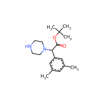 Cc1cc(C)cc(C(C(=O)OC(C)(C)C)N2CCNCC2)c1